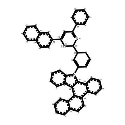 C1=CC(n2c3ccccc3c3c4c5ccccc5ccc4c4ccccc4c32)=CC(C2N=C(c3ccccc3)C=C(c3ccc4ccccc4c3)N2)C1